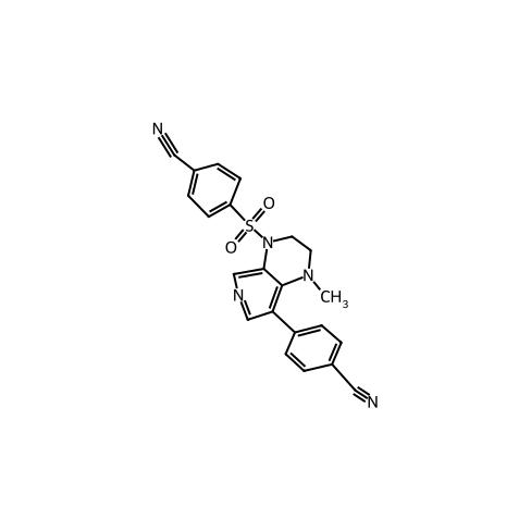 CN1CCN(S(=O)(=O)c2ccc(C#N)cc2)c2cncc(-c3ccc(C#N)cc3)c21